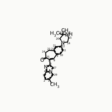 Cc1ccc2nc(C3=Cc4ccc(N5CCNC(C)(C)C5)cc4CCC3=O)cn2c1